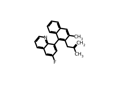 C=C(C)Cc1c(C)cc2ccccc2c1-c1cc(F)cc2cccnc12